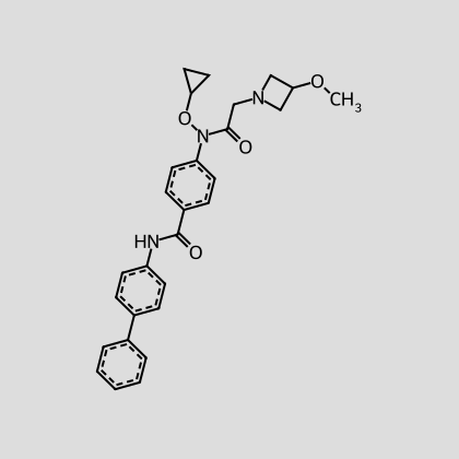 COC1CN(CC(=O)N(OC2CC2)c2ccc(C(=O)Nc3ccc(-c4ccccc4)cc3)cc2)C1